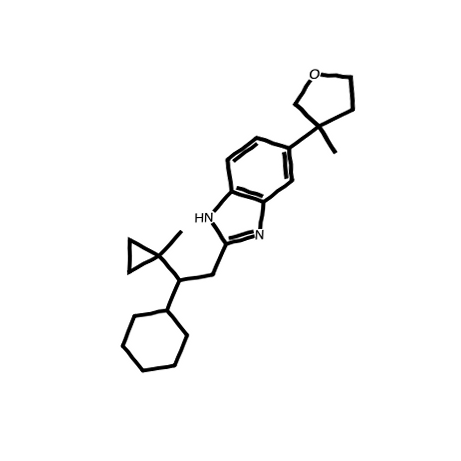 CC1(c2ccc3[nH]c(CC(C4CCCCC4)C4(C)CC4)nc3c2)CCOC1